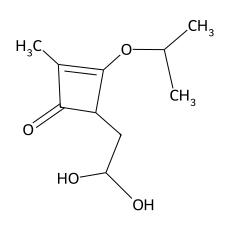 CC1=C(OC(C)C)C(CC(O)O)C1=O